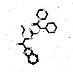 CCC[C@H](NC(=O)O[C@H](C(=O)N1CCOCC1)C1CCCCC1)C(=O)c1nc2ccccc2o1